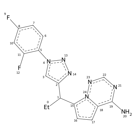 CCC(c1cn(-c2ccc(F)cc2F)nn1)c1ccc2c(N)ncnn12